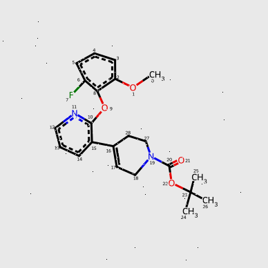 COc1cccc(F)c1Oc1ncccc1C1=CCN(C(=O)OC(C)(C)C)CC1